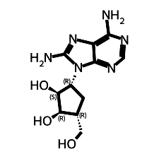 Nc1ncnc2c1nc(N)n2[C@@H]1C[C@H](CO)[C@@H](O)[C@H]1O